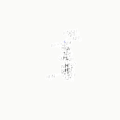 C[C@H](NC(=O)[C@@H](NC(=O)[C@@H](N)CCCCN)[C@@H](O)CN)C(=O)NCC(=O)N[C@H](CCCN)C(=O)N1CCC[C@H]1C(=O)N[C@@H](Cc1cccnc1)C(=O)N[C@@H](CCCCN)C(=O)N/C(=C\CCNC(=N)N)C(=O)O